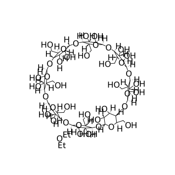 CCOCC.OC[C@H]1O[C@@H]2O[C@H]3[C@H](O)[C@@H](O)[C@@H](O[C@H]4[C@H](O)[C@@H](O)[C@@H](O[C@H]5[C@H](O)[C@@H](O)[C@@H](O[C@H]6[C@H](O)[C@@H](O)[C@@H](O[C@H]7[C@H](O)[C@@H](O)[C@@H](O[C@H]8[C@H](O)[C@@H](O)[C@@H](O[C@H]9[C@H](O)[C@@H](O)[C@@H](O[C@H]1[C@H](O)[C@H]2O)O[C@@H]9CO)O[C@@H]8CO)O[C@@H]7CO)O[C@@H]6CO)O[C@@H]5CO)O[C@@H]4CO)O[C@@H]3CO